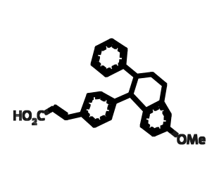 COc1ccc2c(c1)CCC(c1ccccc1)C2c1ccc(C=CC(=O)O)cc1